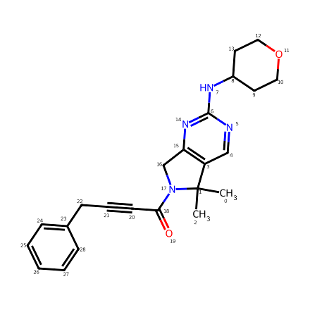 CC1(C)c2cnc(NC3CCOCC3)nc2CN1C(=O)C#CCc1ccccc1